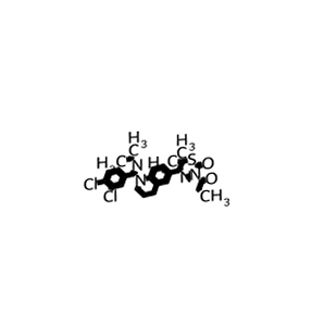 CCC(=O)N1N=C(c2ccc3c(c2)CCCN3C(=NC(C)C)c2ccc(Cl)c(Cl)c2)C(C)(C)SC1=O